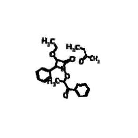 CCC(C)=O.CCOC1C(=O)N(OC(C)C(=O)c2ccccc2)C1c1ccccc1